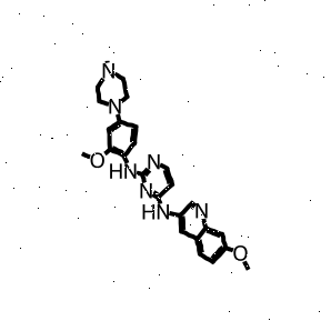 COc1ccc2cc(Nc3ccnc(Nc4ccc(N5CCN(C)CC5)cc4OC)n3)cnc2c1